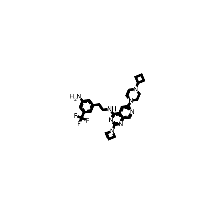 Nc1cc(CCNc2nc(N3CCC3)nc3cnc(N4CCN(C5CCC5)CC4)cc23)cc(C(F)(F)F)c1